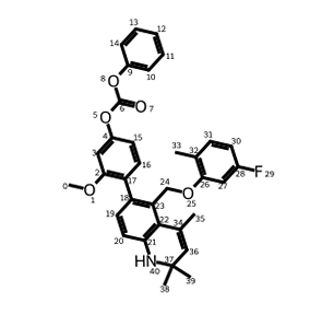 COc1cc(OC(=O)Oc2ccccc2)ccc1-c1ccc2c(c1COc1cc(F)ccc1C)C(C)=CC(C)(C)N2